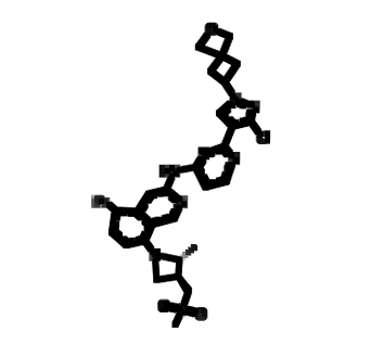 CC(C)c1ccc(N2C[C@H](CS(C)(=O)=O)[C@H]2C)c2cnc(Nc3ccnc(-c4cn(C5CC6(COC6)C5)nc4Cl)n3)cc12